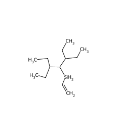 C=C[SiH2]C(C(CC)CC)C(CC)CC